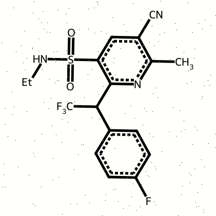 CCNS(=O)(=O)c1cc(C#N)c(C)nc1C(c1ccc(F)cc1)C(F)(F)F